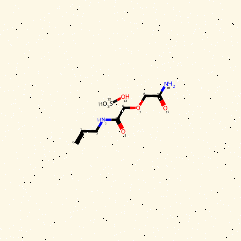 C=CCNC(=O)COCC(N)=O.O=S(=O)(O)O